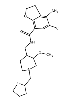 COC1CN(CC2CCCO2)CCC1CNC(=O)c1cc(Cl)c(N)c2c1OCC2